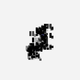 COC(=O)c1cnn(C)c1/N=N/c1c(C)nn(-c2cc(-n3nc(C)c(/N=N/c4c(C(=O)CO)cnn4C)c3N)nc(O)n2)c1N